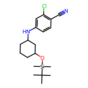 CC(C)(C)[Si](C)(C)OC1CCCC(Nc2ccc(C#N)c(Cl)c2)C1